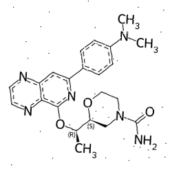 C[C@@H](Oc1nc(-c2ccc(N(C)C)cc2)cc2nccnc12)[C@@H]1CN(C(N)=O)CCO1